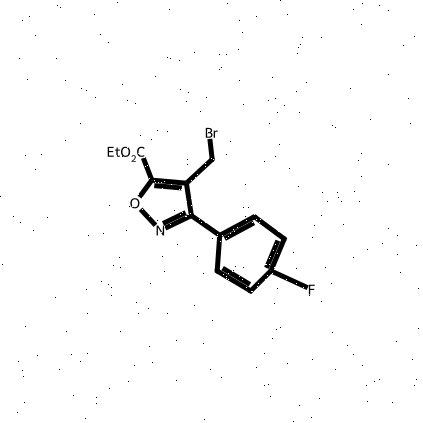 CCOC(=O)c1onc(-c2ccc(F)cc2)c1CBr